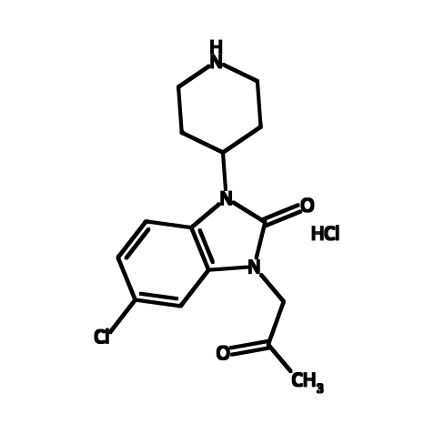 CC(=O)Cn1c(=O)n(C2CCNCC2)c2ccc(Cl)cc21.Cl